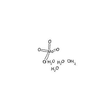 O.O.O.O.[O]=[Mo](=[O])(=[O])=[O]